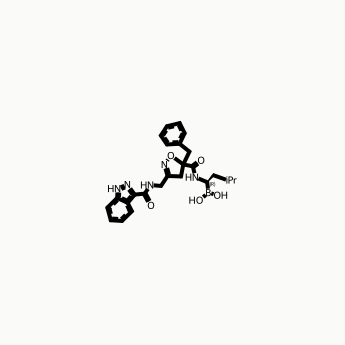 CC(C)C[C@H](NC(=O)C1(Cc2ccccc2)CC(CNC(=O)c2n[nH]c3ccccc23)=NO1)B(O)O